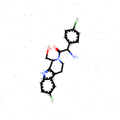 NC(C(=O)N1CCc2c([nH]c3ccc(Cl)cc23)C1CO)c1ccc(Cl)cc1